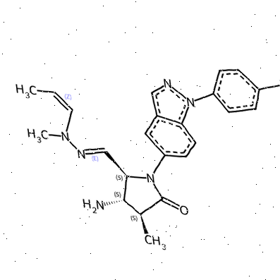 C/C=C\N(C)/N=C/[C@@H]1[C@@H](N)[C@H](C)C(=O)N1c1ccc2c(cnn2-c2ccc(F)cc2)c1